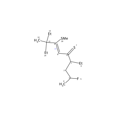 CCC(CC(C)F)C(=S)/C=C(\SC)C(C)(CC)CC